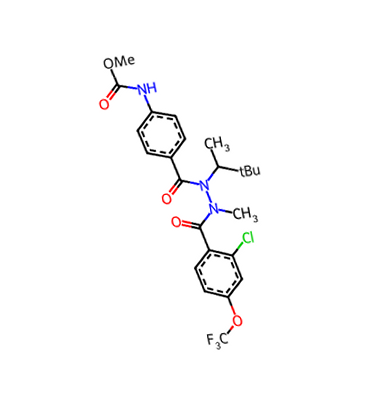 COC(=O)Nc1ccc(C(=O)N(C(C)C(C)(C)C)N(C)C(=O)c2ccc(OC(F)(F)F)cc2Cl)cc1